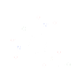 O=[N+]([O-])c1cc(S(=O)(=O)CCl)cc([N+](=O)[O-])c1Cl